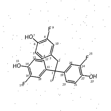 CC(Cc1ccc(O)c(F)c1)(c1ccc(O)c(F)c1)c1ccc(O)c(F)c1